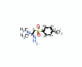 CN(C)/C(N)=C/S(=O)(=O)c1ccc(C(F)(F)F)cc1